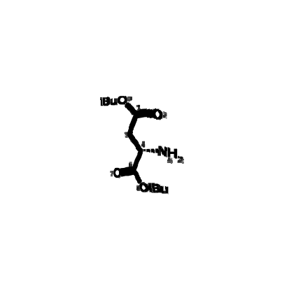 CC(C)COC(=O)C[C@H](N)C(=O)OCC(C)C